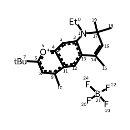 CCN1c2cc3[o+]c(C(C)(C)C)cc(C)c3cc2C(C)=CC1(C)C.F[B-](F)(F)F